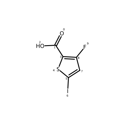 O=C(O)c1sc(I)cc1F